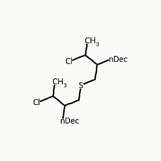 CCCCCCCCCCC(CSCC(CCCCCCCCCC)C(C)Cl)C(C)Cl